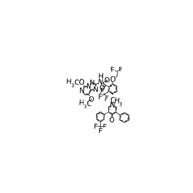 COc1cnc(OC)n2nc(NS(=O)(=O)c3c(OCC(F)F)cccc3C(F)(F)F)nc12.Cn1cc(-c2ccccc2)c(=O)c(-c2cccc(C(F)(F)F)c2)c1